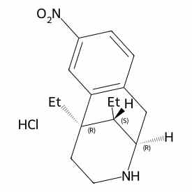 CC[C@@H]1[C@H]2Cc3ccc([N+](=O)[O-])cc3[C@]1(CC)CCN2.Cl